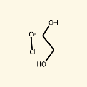 OCCO.[Cl][Ce]